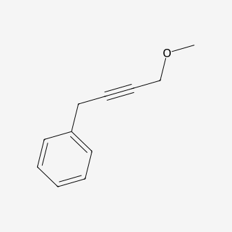 COCC#CCc1ccccc1